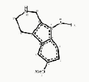 COc1ccc2c(c1)c1c(n2SI)CNCC1